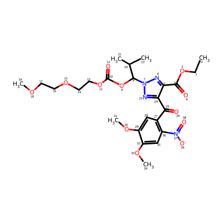 CCOC(=O)c1nn(C(OC(=O)OCCOCCOC)C(C)C)nc1C(=O)c1cc(OC)c(OC)cc1[N+](=O)[O-]